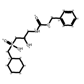 O=C(NCC(O)CP(=O)(O)CC1CCCCC1)OCc1ccccc1